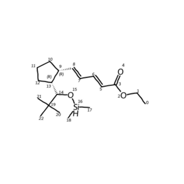 CCOC(=O)C=CC=C[C@H]1CCC[C@H]1C(O[SiH](C)C)C(C)(C)C